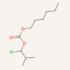 CCCCCCOC(=O)OC(Cl)C(C)C